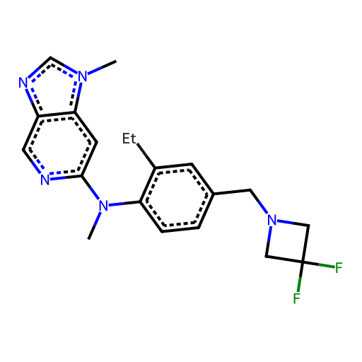 CCc1cc(CN2CC(F)(F)C2)ccc1N(C)c1cc2c(cn1)ncn2C